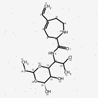 C=CC1=CCC(C(=O)NC(C(C)Cl)C2OC(SC)O[C@@H](O)C2O)NCC1